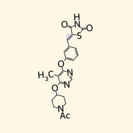 CC(=O)N1CCC(Oc2ncnc(Oc3cccc(/C=C4\SC(=O)NC4=O)c3)c2C)CC1